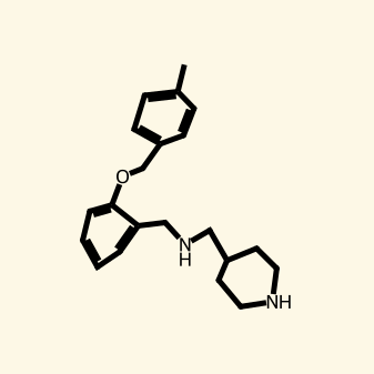 Cc1ccc(COc2ccccc2CNCC2CCNCC2)cc1